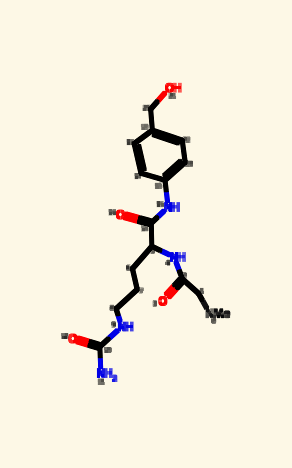 CNCC(=O)NC(CCCNC(N)=O)C(=O)Nc1ccc(CO)cc1